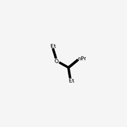 [CH2]CC(CCC)OCC